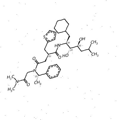 CC(C)C[C@H](O)[C@H](O)[C@H](CC1CCCCC1)NC(=O)[C@@H](CC(=O)N(CC(=O)N(C)C)[C@@H](C)c1ccccc1)Cc1cccs1